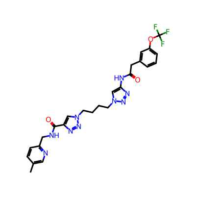 Cc1ccc(CNC(=O)c2cn(CCCCn3cc(NC(=O)Cc4cccc(OC(F)(F)F)c4)nn3)nn2)nc1